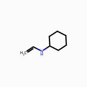 C=CNC1CCCCC1